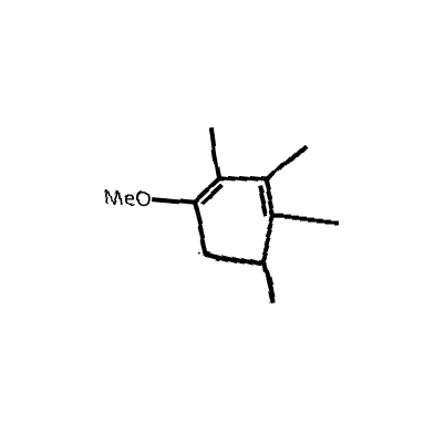 COC1=C(C)C(C)=C(C)C(C)[CH]1